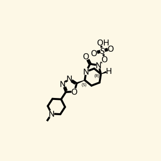 CN1CCC(c2nnc([C@@H]3CC[C@@H]4CN3C(=O)N4OS(=O)(=O)O)o2)CC1